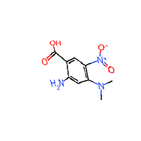 CN(C)c1cc(N)c(C(=O)O)cc1[N+](=O)[O-]